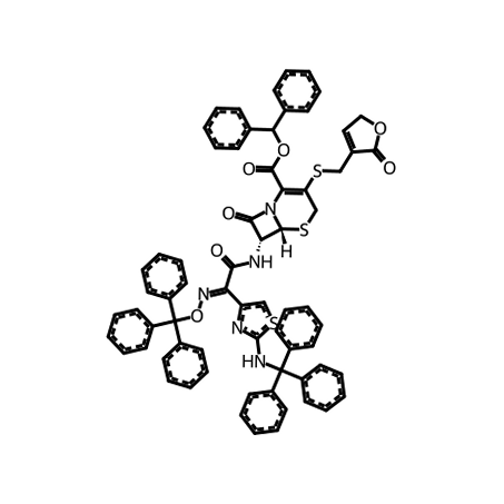 O=C1OCC=C1CSC1=C(C(=O)OC(c2ccccc2)c2ccccc2)N2C(=O)[C@@H](NC(=O)/C(=N/OC(c3ccccc3)(c3ccccc3)c3ccccc3)c3csc(NC(c4ccccc4)(c4ccccc4)c4ccccc4)n3)[C@H]2SC1